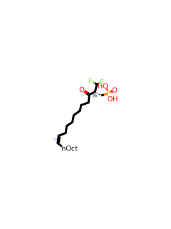 CCCCCCCC/C=C\CCCCCCCC(=O)[C@@H](CP(=O)(O)O)C(F)F